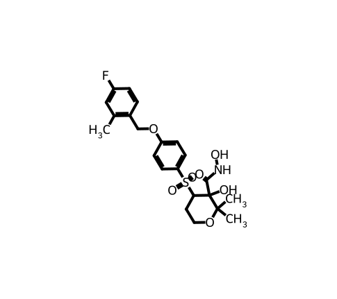 Cc1cc(F)ccc1COc1ccc(S(=O)(=O)C2CCOC(C)(C)C2(O)C(=O)NO)cc1